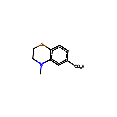 CN1CCSc2ccc(C(=O)O)cc21